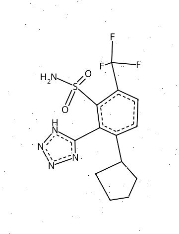 NS(=O)(=O)c1c(C(F)(F)F)ccc(C2CCCC2)c1-c1nnn[nH]1